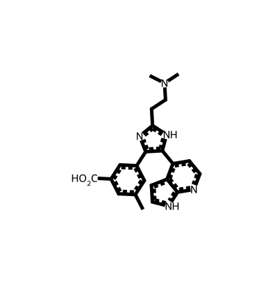 Cc1cc(C(=O)O)cc(-c2nc(CCN(C)C)[nH]c2-c2ccnc3[nH]ccc23)c1